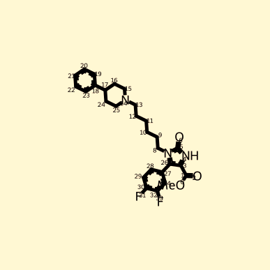 COC(=O)c1[nH]c(=O)n(CCCCCCN2CCC(c3ccccc3)CC2)c1-c1ccc(F)c(F)c1